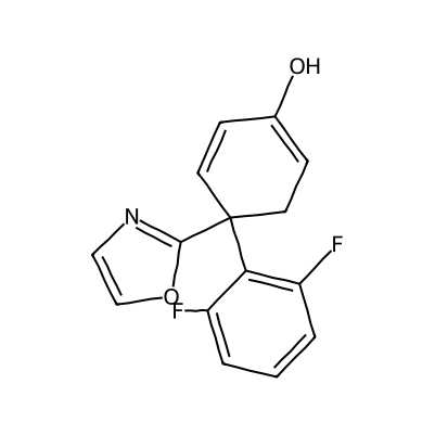 OC1=CCC(c2ncco2)(c2c(F)cccc2F)C=C1